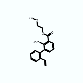 C=Cc1[c]cccc1-c1cccc(C(=O)OCCOC(C)C)c1SC